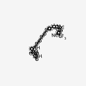 CC1(C)CN(Cc2ccc(-c3ccc(OCCOCCOCCOCCOCCNc4cccc5c4C(=O)N(C4CCC(=O)NC4=O)C5=O)cc3)cc2)C(=O)C1Oc1ccc(C#N)c(C(F)(F)F)c1